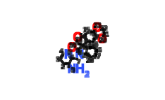 Nc1cccnc1CN1C(=O)C2(COc3cc4c(cc32)OCCO4)c2ccccc21